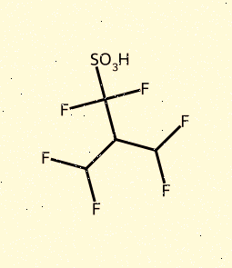 O=S(=O)(O)C(F)(F)C(C(F)F)C(F)F